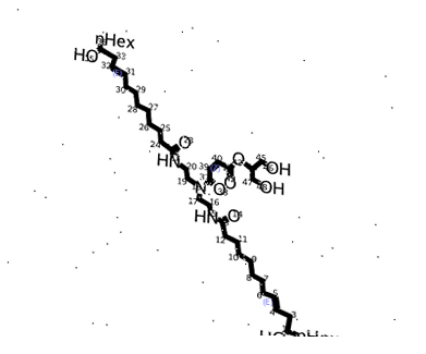 CCCCCCC(O)C/C=C/CCCCCCCC(=O)NCCN(CCNC(=O)CCCCCCC/C=C/CC(O)CCCCCC)C(=O)/C=C\C(=O)OC(CO)CO